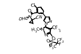 Cn1nc(OS(=O)(=O)C(F)(C(F)(F)F)C(F)(F)F)c(C(F)(F)F)c1-n1cc(-c2ccc(Cl)c(C(=O)N(C=O)C3(C#N)CC3)c2)cn1